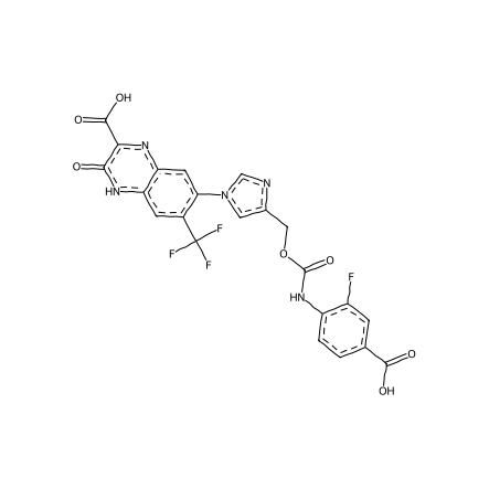 O=C(Nc1ccc(C(=O)O)cc1F)OCc1cn(-c2cc3nc(C(=O)O)c(=O)[nH]c3cc2C(F)(F)F)cn1